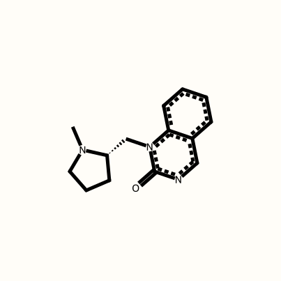 CN1CCC[C@H]1Cn1c(=O)ncc2ccccc21